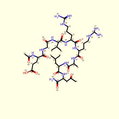 CC(=O)CC(NC(=O)C(CC(C)C)NC(=O)C(C)NC(=O)C(CCCNC(N)N)NC(=O)C(CCCNC(=N)N)NC(=O)C(NC(=O)CNC(=O)C(CCC(=O)O)NC(C)=O)C(C)C)C(N)=O